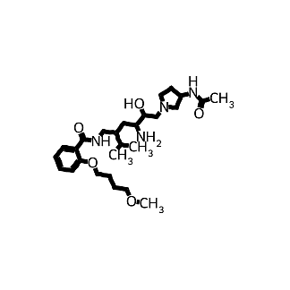 COCCCCOc1ccccc1C(=O)NCC(CC(N)C(O)CN1CCC(NC(C)=O)C1)C(C)C